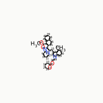 COC(=O)c1c(-c2nc3ccccn3c2Cc2cn(CCOC3CCCCO3)c3cccc(C)c23)ccc2ccccc12